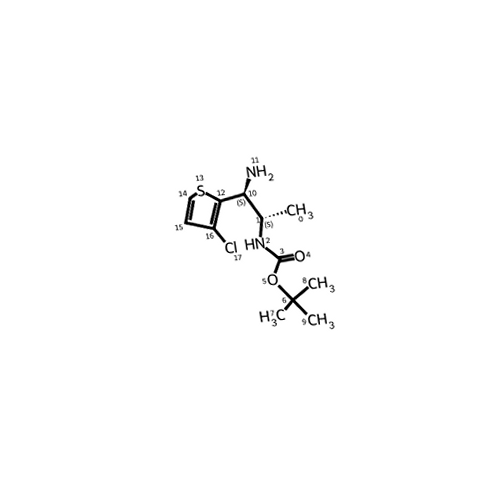 C[C@H](NC(=O)OC(C)(C)C)[C@H](N)c1sccc1Cl